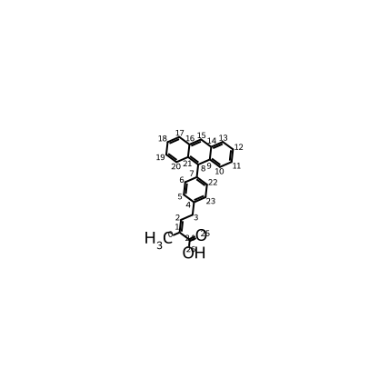 CC(=CCc1ccc(-c2c3ccccc3cc3ccccc23)cc1)C(=O)O